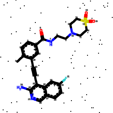 Cc1ccc(C(=O)NCCN2CCS(=O)(=O)CC2)cc1C#Cc1c(N)ncc2ccc(F)cc12